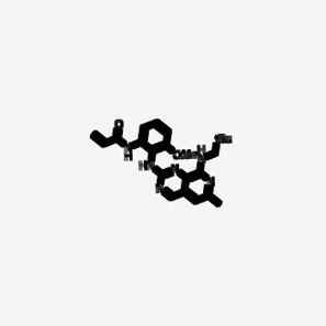 C=CC(=O)Nc1cccc(OC)c1Nc1ncc2cc(C)nc(NCC(C)(C)C)c2n1